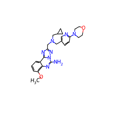 COc1cccc2c1nc(N)n1nc(CN(Cc3ccc(N4CCOCC4)nc3)CC3CC3)nc21